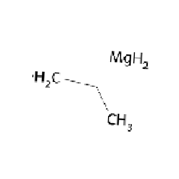 [CH2]CC.[MgH2]